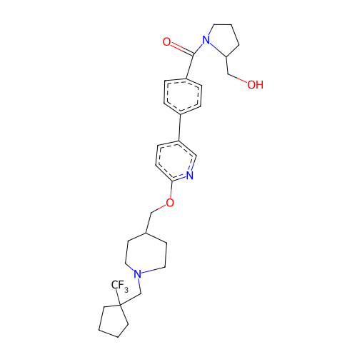 O=C(c1ccc(-c2ccc(OCC3CCN(CC4(C(F)(F)F)CCCC4)CC3)nc2)cc1)N1CCCC1CO